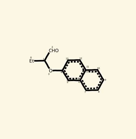 CCC(C=O)Oc1[c]c2ccccc2cc1